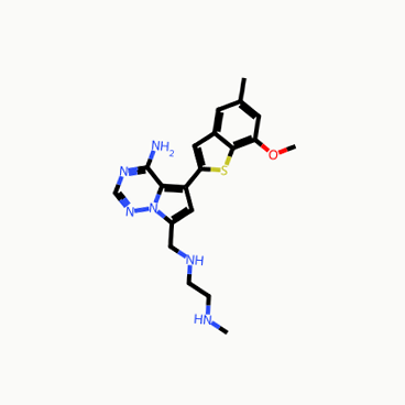 CNCCNCc1cc(-c2cc3cc(C)cc(OC)c3s2)c2c(N)ncnn12